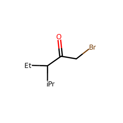 CCC(C(=O)CBr)C(C)C